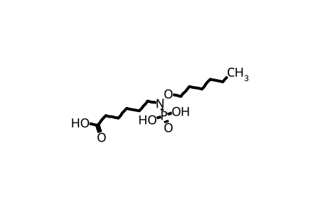 CCCCCCON(CCCCCC(=O)O)P(=O)(O)O